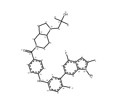 Cc1cc2c(F)cc(-c3nc(Nc4ccc(C(=O)N5CCC6C(CCN6CC(C)(C)O)C5)cn4)ncc3F)cc2n1C(C)C